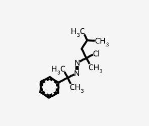 CC(C)CC(C)(Cl)N=NC(C)(C)c1ccccc1